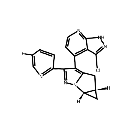 Fc1ccc(-c2nn3c(c2-c2ccnc4[nH]nc(Cl)c24)C[C@@H]2C[C@@H]23)nc1